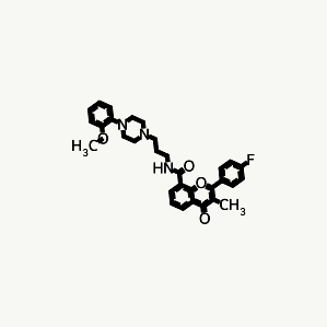 COc1ccccc1N1CCN(CCCNC(=O)c2cccc3c(=O)c(C)c(-c4ccc(F)cc4)oc23)CC1